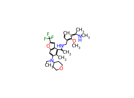 C=C/C(CNC(=C)c1c(C)c(N(CC)C2CCOCC2)cc2oc(C(F)(F)F)cc12)=C(\C=C(\C)NC)OC